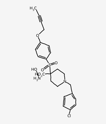 CC#CCOc1ccc(S(=O)(=O)C2(C(=O)O)CCN(Cc3ccc(Cl)cc3)CC2)cc1.NO